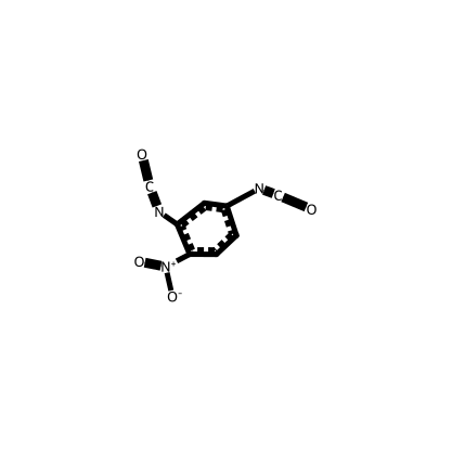 O=C=Nc1ccc([N+](=O)[O-])c(N=C=O)c1